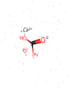 O=C(O)O.[Ca+2].[O-2]